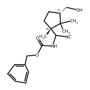 [C-]#[N+]C(NC(=O)OCc1ccccc1)[C@]1(C)CC[C@H](CO)C1(C)C